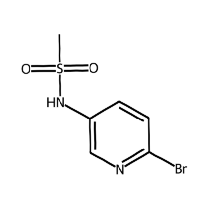 CS(=O)(=O)Nc1ccc(Br)nc1